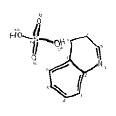 C1=Nc2ccccc2CC1.O=S(=O)(O)O